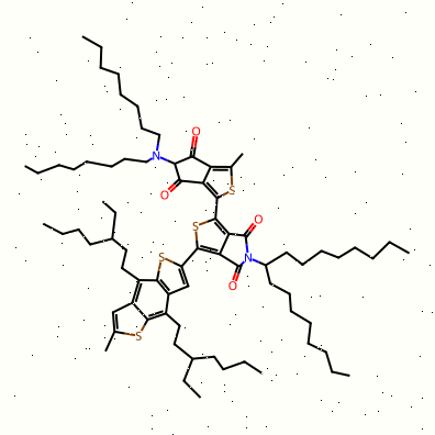 CCCCCCCCC(CCCCCCCC)N1C(=O)c2c(-c3cc4c(CCC(CC)CCCC)c5sc(C)cc5c(CCC(CC)CCCC)c4s3)sc(-c3sc(C)c4c3C(=O)C(N(CCCCCCCC)CCCCCCCC)C4=O)c2C1=O